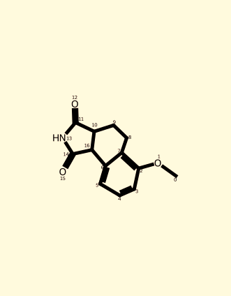 COc1cccc2c1CCC1C(=O)NC(=O)C21